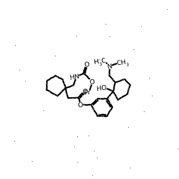 CC(C)OC(=O)NCC1(CC(=O)Oc2cccc(C3(O)CCCCC3CN(C)C)c2)CCCCC1